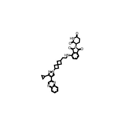 O=C1CCC(N2C(=O)c3cccc(NCCC4CC5(C4)CC(n4cc(-c6cnc7ccccc7n6)c(C6CC6)n4)C5)c3C2=O)C(=O)N1